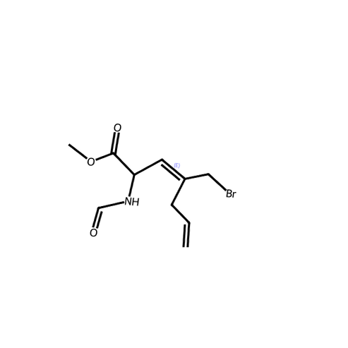 C=CC/C(=C\C(NC=O)C(=O)OC)CBr